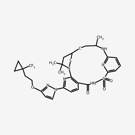 CC1CCC2CN(c3nc(-n4ccc(OCCC5(C(F)(F)F)CC5)n4)ccc3C(=O)NS(=O)(=O)c3cccc(n3)N1)C(C)(C)C2